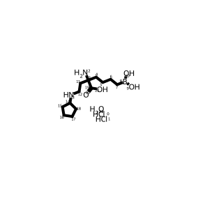 Cl.Cl.NC(CCCCB(O)O)(CCNC1CCCC1)C(=O)O.O